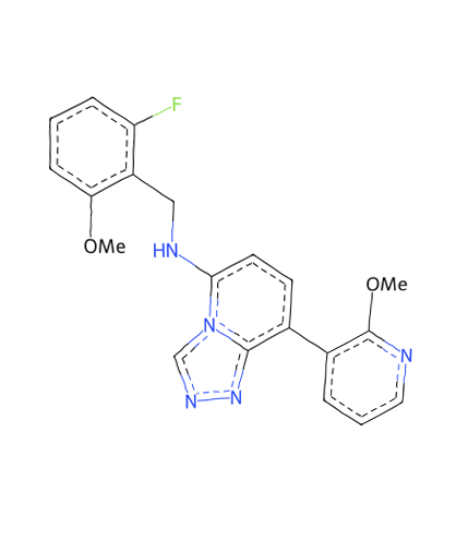 COc1cccc(F)c1CNc1ccc(-c2cccnc2OC)c2nncn12